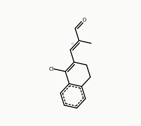 C/C(C=O)=C\C1=C(Cl)c2ccccc2CC1